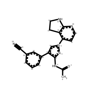 CC(=O)Nc1nn(-c2ccnc3c2CCN3)cc1-c1cccc(C#N)c1